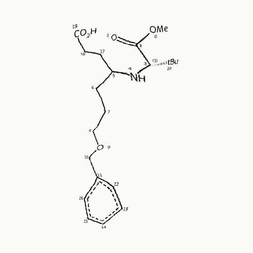 COC(=O)[C@@H](NC(CCCOCc1ccccc1)CCC(=O)O)C(C)(C)C